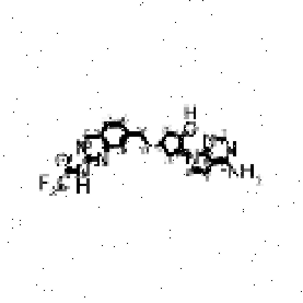 Nc1ncnc2c1ccn2[C@@H]1C[C@H](CCc2ccc3cnc(NC(=O)C(F)(F)F)nc3c2)C[C@H]1O